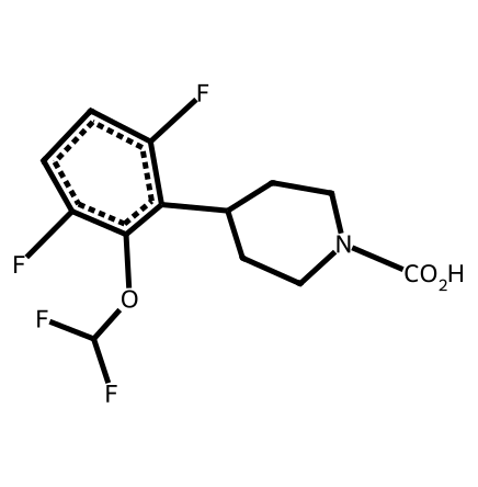 O=C(O)N1CCC(c2c(F)ccc(F)c2OC(F)F)CC1